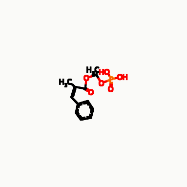 CC(=Cc1ccccc1)C(=O)OC(C)OP(=O)(O)O